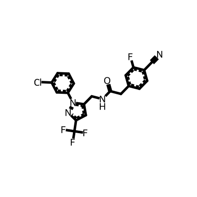 N#Cc1ccc(CC(=O)NCc2cc(C(F)(F)F)nn2-c2cccc(Cl)c2)cc1F